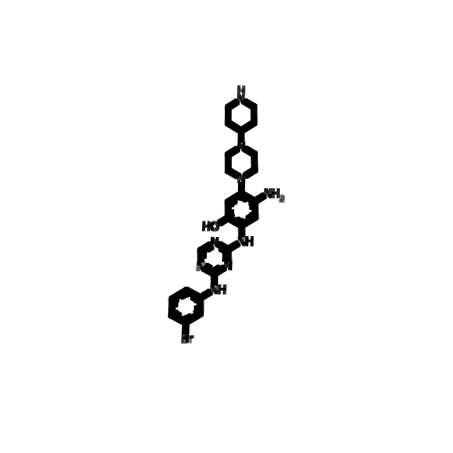 Nc1cc(Nc2ncnc(Nc3cccc(Br)c3)n2)c(O)cc1N1CCN(C2CCNCC2)CC1